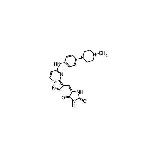 CN1CCN(c2ccc(Nc3ccn4ncc(C=C5NC(=O)NC5=O)c4n3)cc2)CC1